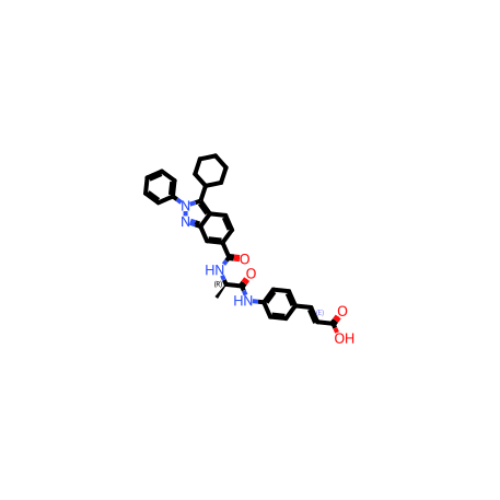 C[C@@H](NC(=O)c1ccc2c(C3CCCCC3)n(-c3ccccc3)nc2c1)C(=O)Nc1ccc(/C=C/C(=O)O)cc1